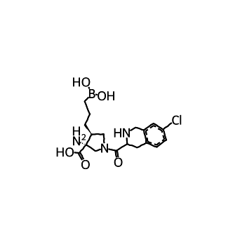 N[C@@]1(C(=O)O)CN(C(=O)C2Cc3ccc(Cl)cc3CN2)C[C@@H]1CCCB(O)O